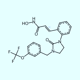 O=C(/C=C/c1ccccc1N1CCN(Cc2cccc(OC(F)(F)F)c2)C1=O)NO